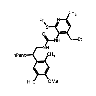 CCCCCC(CNC(=O)Nc1c(SCC)cc(C)nc1SCC)c1cc(C)c(OC)cc1C